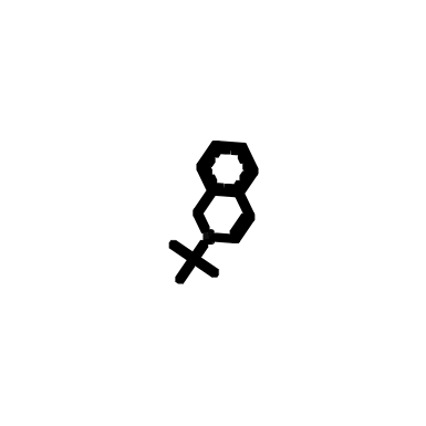 CC(C)(C)B1C=Cc2ccccc2C1